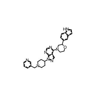 c1cncc(CN2CCC(n3ncc4c(N5CCOC(c6ccc7[nH]ccc7c6)C5)ncnc43)CC2)c1